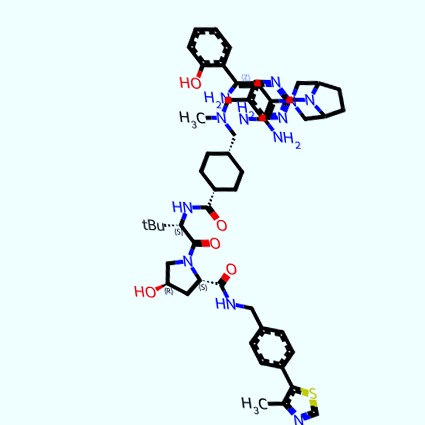 Cc1ncsc1-c1ccc(CNC(=O)[C@@H]2C[C@@H](O)CN2C(=O)[C@@H](NC(=O)[C@H]2CC[C@@H](CN(C)Cc3cnc(N4C5CCC4CN(C(/C=C(\N)c4ccccc4O)=C(N)N)C5)nc3)CC2)C(C)(C)C)cc1